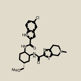 COC[C@@H]1CCC(NC(=O)c2cc3cc(Cl)ccc3[nH]2)C(NC(=O)c2nc3c(s2)CN(C)CC3)C1